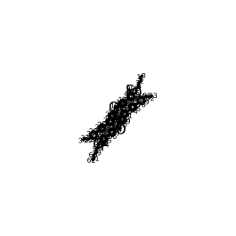 CCCCCCOc1ccc(-c2ccc(C(=O)Oc3ccc4cc(-c5ccc(C6CCC(CCC)CC6)cc5)ccc4c3-c3c(OC(=O)c4ccc(-c5ccc(OCCCCCC)c(F)c5)cc4)ccc4cc(-c5ccc(C6CCC(CCC)CC6)cc5)ccc34)cc2)cc1F